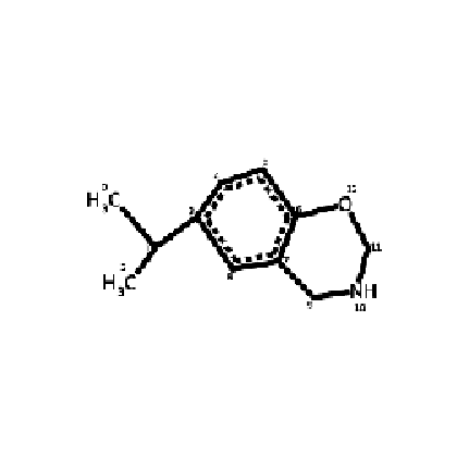 CC(C)c1ccc2c(c1)CNCO2